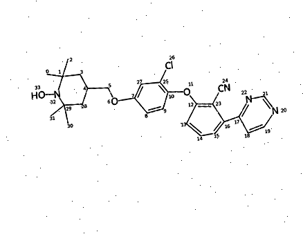 CC1(C)CC(COc2ccc(Oc3cccc(-c4ccncn4)c3C#N)c(Cl)c2)CC(C)(C)N1O